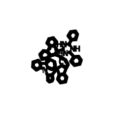 C1=CC2=C3N4c5ccccc5C3(C1)c1cccc3c1c(c(C1NC(c5ccccc5)NC(c5ccccc5)N1)c1ccccc13)-c1ccc3c(c1)C2(c1ccccc1-3)c1ccccc14